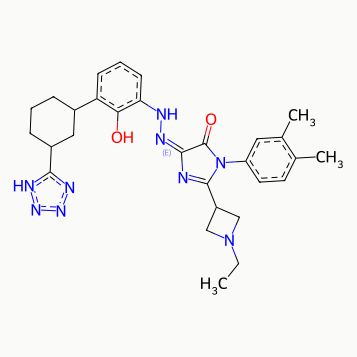 CCN1CC(C2=N/C(=N/Nc3cccc(C4CCCC(c5nnn[nH]5)C4)c3O)C(=O)N2c2ccc(C)c(C)c2)C1